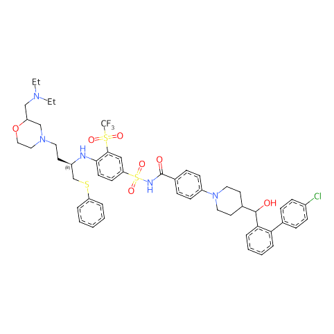 CCN(CC)CC1CN(CC[C@H](CSc2ccccc2)Nc2ccc(S(=O)(=O)NC(=O)c3ccc(N4CCC(C(O)c5ccccc5-c5ccc(Cl)cc5)CC4)cc3)cc2S(=O)(=O)C(F)(F)F)CCO1